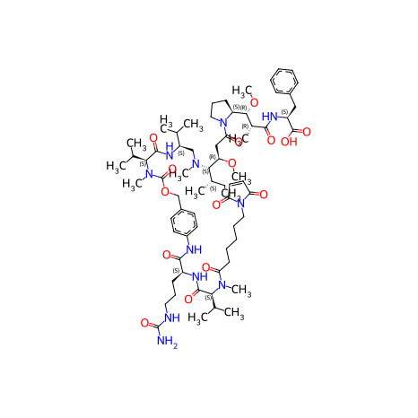 CC[C@H](C)[C@@H]([C@@H](CC(=O)N1CCC[C@H]1[C@H](OC)[C@@H](C)C(=O)N[C@@H](Cc1ccccc1)C(=O)O)OC)N(C)C[C@@H](NC(=O)[C@H](C(C)C)N(C)C(=O)OCc1ccc(NC(=O)[C@H](CCCNC(N)=O)NC(=O)[C@H](C(C)C)N(C)C(=O)CCCCCN2C(=O)C=CC2=O)cc1)C(C)C